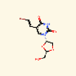 O=c1[nH]c(=O)n([C@@H]2CO[C@@H](CO)O2)cc1C=CBr